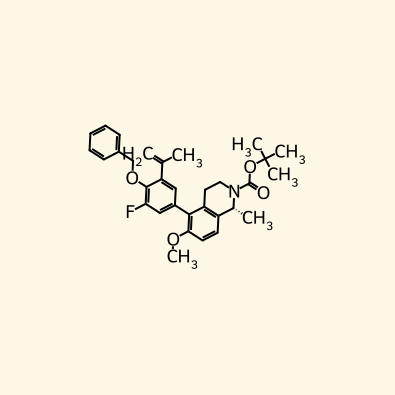 C=C(C)c1cc(-c2c(OC)ccc3c2CCN(C(=O)OC(C)(C)C)[C@@H]3C)cc(F)c1OCc1ccccc1